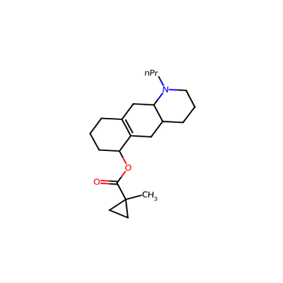 CCCN1CCCC2CC3=C(CCCC3OC(=O)C3(C)CC3)CC21